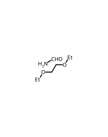 CCOCCOCC.NC=O